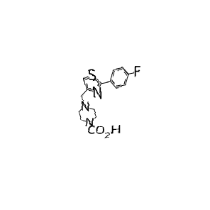 O=C(O)N1CCN(Cc2csc(-c3ccc(F)cc3)n2)CC1